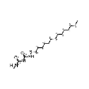 CCCCCCCCCCCCCCCNC(=O)NC(N)=O